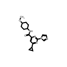 COC1CCC(NC(=O)c2cc(C3CC3)nc(-n3ccnc3)n2)CC1